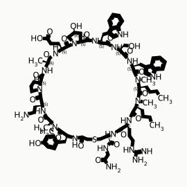 CCCC[C@H]1C(=O)N(C)[C@@H](CCCC)C(=O)N[C@@H](CCCNC(=N)N)C(=O)N[C@H](C(=O)NCC(N)=O)CSCC(=O)N[C@@H](Cc2ccc(O)cc2)C(=O)N(C)[C@@H](C)C(=O)N[C@@H](CCN)C(=O)N2CCC[C@H]2C(=O)N[C@@H](C)C(=O)N[C@@H](CCC(=O)O)C(=O)N2C[C@H](O)C[C@H]2C(=O)N[C@@H](Cc2c[nH]c3ccccc23)C(=O)N[C@@H](CO)C(=O)N[C@@H](Cc2c[nH]c3ccccc23)C(=O)N1C